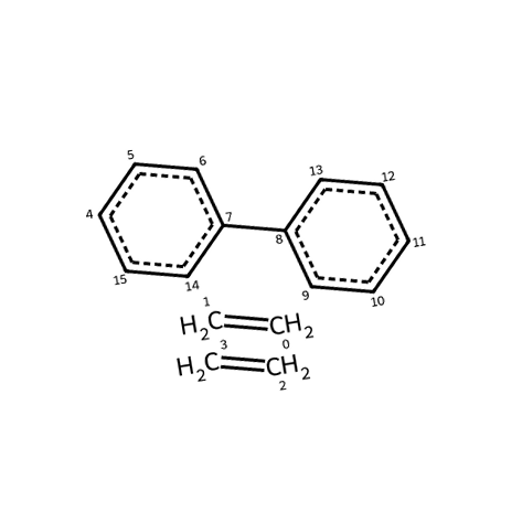 C=C.C=C.c1ccc(-c2ccccc2)cc1